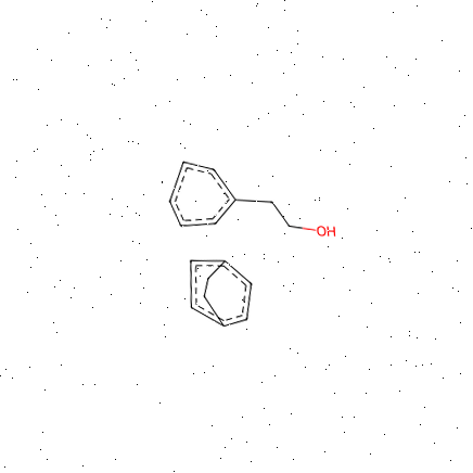 OCCc1ccccc1.c1cc2ccc1CC2